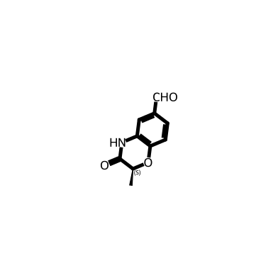 C[C@@H]1Oc2ccc(C=O)cc2NC1=O